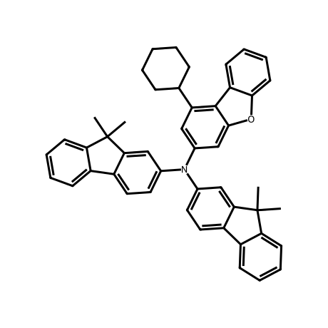 CC1(C)c2ccccc2-c2ccc(N(c3ccc4c(c3)C(C)(C)c3ccccc3-4)c3cc(C4CCCCC4)c4c(c3)oc3ccccc34)cc21